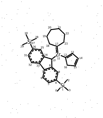 C[Si](C)(C)c1ccc2c(c1)[CH]([Zr]([C]1=CC=CC1)=[C]1CCCCCC1)c1cc([Si](C)(C)C)ccc1-2